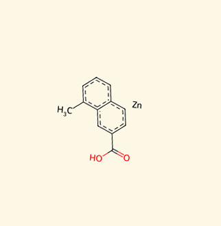 Cc1cccc2ccc(C(=O)O)cc12.[Zn]